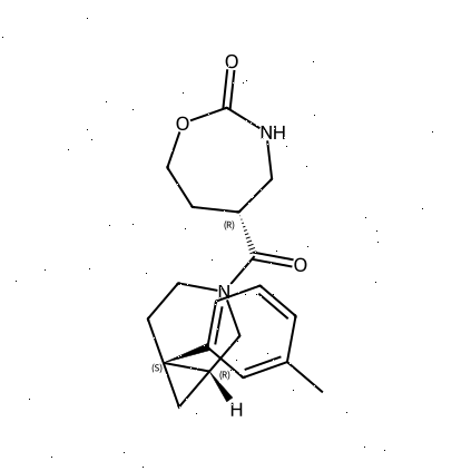 Cc1cccc([C@@]23CCN(C(=O)[C@@H]4CCOC(=O)NC4)C[C@@H]2C3)c1